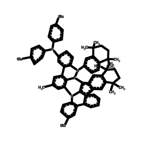 Cc1cc2c3c(c1)N(c1ccc(C(C)(C)C)cc1-c1ccccc1)c1sc4cc5c(cc4c1B3N(c1ccc3c(c1)C(C)(C)CCC3(C)C)c1ccc(N(c3ccc(C(C)(C)C)cc3)c3ccc(C(C)(C)C)cc3)cc1-2)C(C)(C)CCC5(C)C